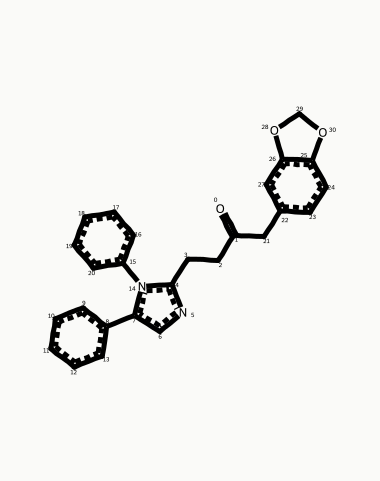 O=C(CCc1ncc(-c2ccccc2)n1-c1ccccc1)Cc1ccc2c(c1)OCO2